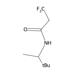 CC(NC(=O)CC(F)(F)F)C(C)(C)C